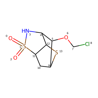 O=S1(=O)NC2C(OCCl)C3CC1C2S3